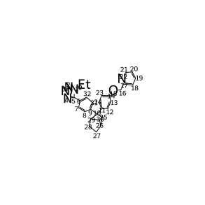 CCn1nnnc1-c1ccc(C2(c3ccc(OCc4ccccn4)cc3)CC3CCC2C3)cc1